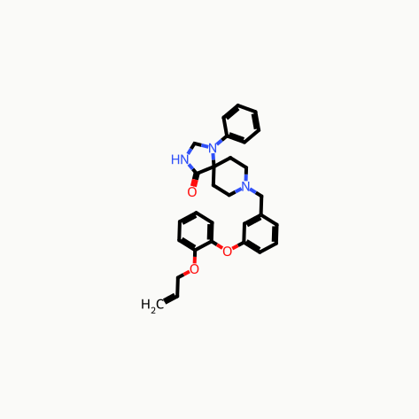 C=CCOc1ccccc1Oc1cccc(CN2CCC3(CC2)C(=O)NCN3c2ccccc2)c1